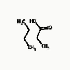 CCC(=O)O.CCCC